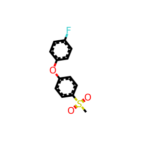 CS(=O)(=O)c1ccc(Oc2ccc(F)cc2)cc1